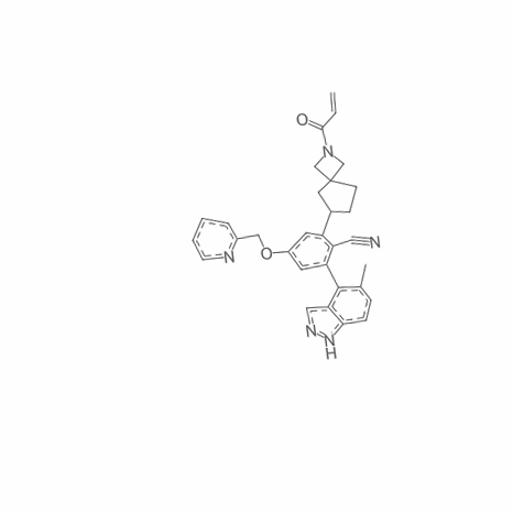 C=CC(=O)N1CC2(CCC(c3cc(OCc4ccccn4)cc(-c4c(C)ccc5[nH]ncc45)c3C#N)C2)C1